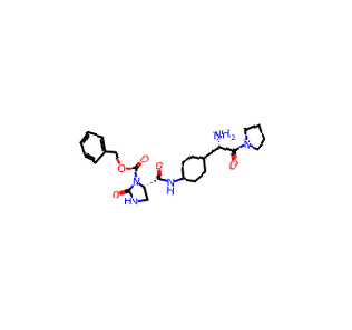 N[C@H](C(=O)N1CCCC1)C1CCC(NC(=O)[C@@H]2CNC(=O)N2C(=O)OCc2ccccc2)CC1